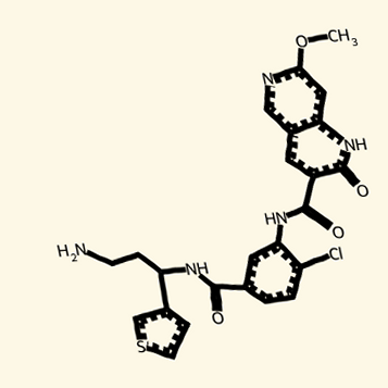 COc1cc2[nH]c(=O)c(C(=O)Nc3cc(C(=O)NC(CCN)c4ccsc4)ccc3Cl)cc2cn1